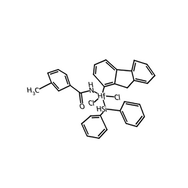 Cc1cccc(C(=O)[NH][Hf]([Cl])([Cl])([c]2cccc3c2Cc2ccccc2-3)[SiH](c2ccccc2)c2ccccc2)c1